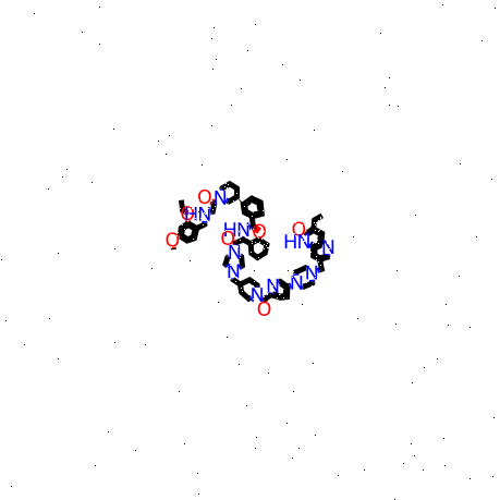 CCOc1cc(OC)ccc1CNCC(=O)N1CCC[C@H](c2cccc(C(=O)N[C@H](C(=O)N3CCN(CC4CCN(C(=O)c5ccc(N6CCN(Cc7cnc8cc(CC)c(=O)[nH]c8c7)CC6)cn5)CC4)CC3)C3CCCCC3)c2)C1